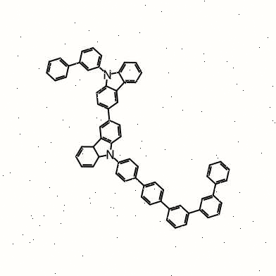 C1=CC2c3cc(-c4ccc5c(c4)c4ccccc4n5-c4cccc(-c5ccccc5)c4)ccc3N(c3ccc(-c4ccc(-c5cccc(-c6cccc(-c7ccccc7)c6)c5)cc4)cc3)C2C=C1